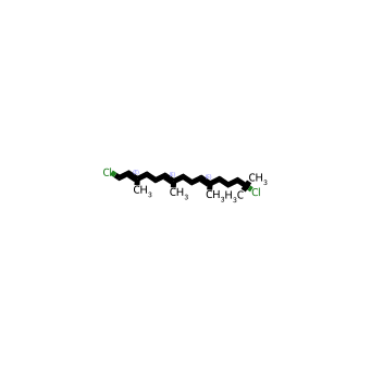 C/C(=C\CCl)CC/C=C(\C)CC/C=C(\C)CCCC(C)(C)Cl